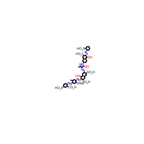 COc1cc(/N=N/c2ccc(S(=O)(=O)O)cc2C(=O)O)c(C)cc1/N=N/c1c(S(=O)(=O)O)cc2cc(S(=O)(=O)O)c(/N=N/c3c(C)nn(-c4ccc5c(O)c(/N=N/c6ccccc6S(=O)(=O)O)c(S(=O)(=O)O)cc5c4)c3O)cc2c1O